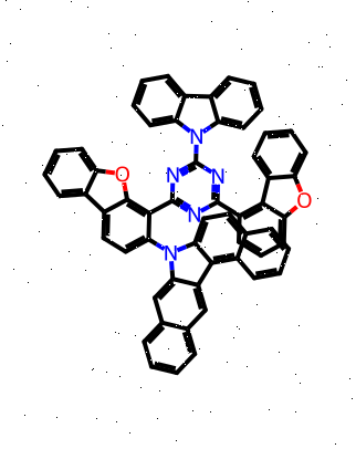 c1ccc2cc3c(cc2c1)c1c2ccccc2ccc1n3-c1ccc2c(oc3ccccc32)c1-c1nc(-c2cccc3oc4ccccc4c23)nc(-n2c3ccccc3c3ccccc32)n1